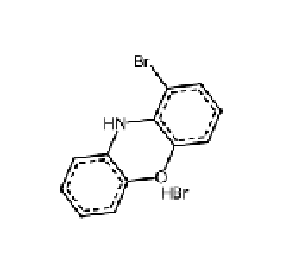 Br.Brc1cccc2c1Nc1ccccc1O2